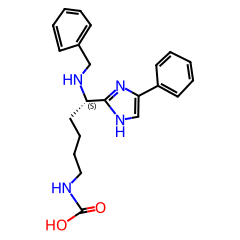 O=C(O)NCCCC[C@H](NCc1ccccc1)c1nc(-c2ccccc2)c[nH]1